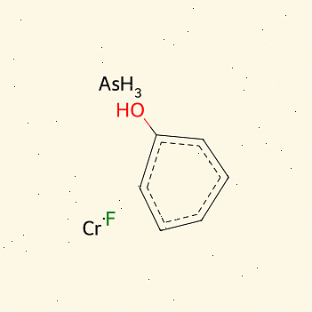 Oc1ccccc1.[AsH3].[Cr].[F]